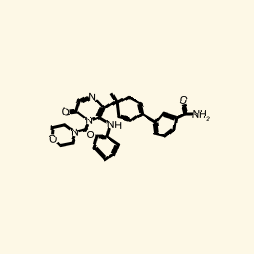 CC1(c2ncc(=O)n(C(=O)N3CCOCC3)c2Nc2ccccc2)C=CC(c2cccc(C(N)=O)c2)=CC1